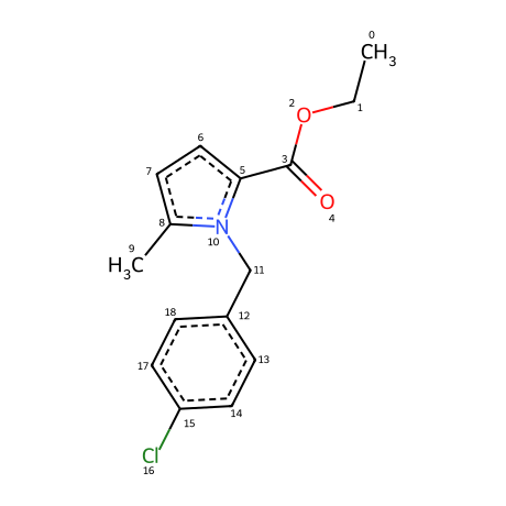 CCOC(=O)c1ccc(C)n1Cc1ccc(Cl)cc1